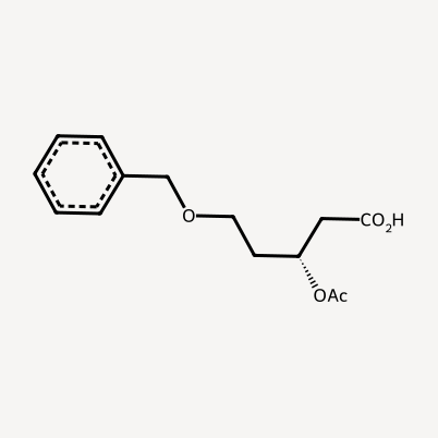 CC(=O)O[C@H](CCOCc1ccccc1)CC(=O)O